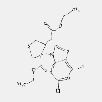 CCOC(=O)CC1CSCC1(C(=O)OCC)n1cnc2c(Cl)nc(Cl)nc21